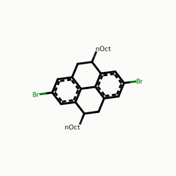 CCCCCCCCC1Cc2cc(Br)cc3c2-c2c(cc(Br)cc21)CC3CCCCCCCC